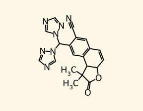 CC1(C)C(=O)OC2C=Cc3cc(C#N)c(C(n4cncn4)n4cncn4)cc3C21